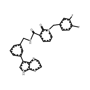 O=C(NCc1cccc(-c2c[nH]c3nccnc23)c1)c1cccn(Cc2ccc(F)c(F)c2)c1=O